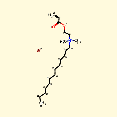 C=CC(=O)OCC[N+](C)(C)CCCCCCCCCCCCC.[Br-]